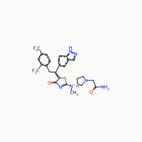 CN(C1=NC(=O)C(=C(Cc2ccc(C(F)(F)F)cc2C(F)(F)F)c2ccc3[nH]ncc3c2)S1)[C@@H]1CCN(CC(N)=O)C1